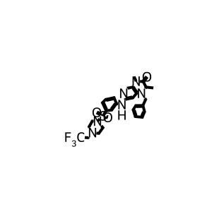 CC1C(=O)N(C)c2cnc(Nc3cccc(S(=O)(=O)N4CCN(CC(F)(F)F)CC4)c3)cc2N1Cc1ccccc1